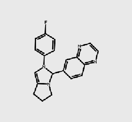 Fc1ccc(N2C=C3CCCN3C2c2ccc3nccnc3c2)cc1